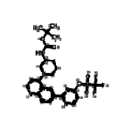 CC(C)(C)OC(=O)N[C@H]1CCCN(c2ccnc3ccc(-c4nccc(OS(=O)(=O)C(F)(F)F)n4)cc23)C1